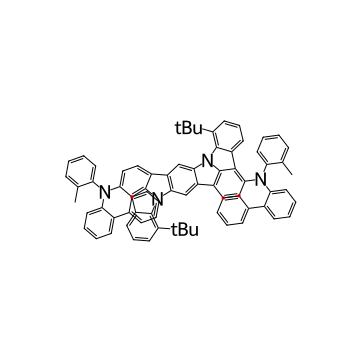 Cc1ccccc1N(c1ccccc1-c1ccccc1)c1ccc2c3cc4c(cc3n3c5c(C(C)(C)C)cccc5c1c23)c1ccc(N(c2ccccc2C)c2ccccc2-c2ccccc2)c2c3cccc(C(C)(C)C)c3n4c12